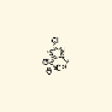 CCc1nc(Cl)sc1S(=O)(=O)Cl